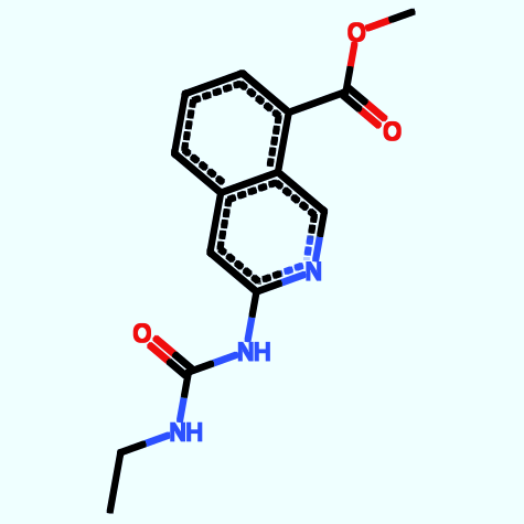 CCNC(=O)Nc1cc2cccc(C(=O)OC)c2cn1